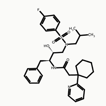 CC(C)CN(C[C@@H](O)[C@H](Cc1ccccc1)NC(=O)CC1(c2ccccn2)CCCCC1)S(=O)(=O)c1ccc(F)cc1